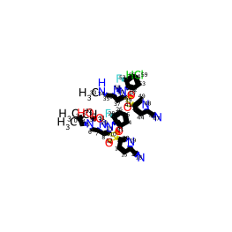 CC(C)(C)CN(Cc1cc(S(=O)(=O)c2ccc(C#N)nc2)n(-c2ccccc2F)n1)C(=O)O.CNCc1cc(S(=O)(=O)c2ccc(C#N)nc2)n(-c2ccccc2F)n1.Cl